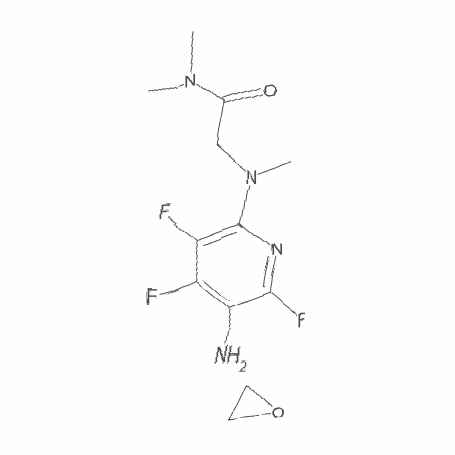 C1CO1.CN(C)C(=O)CN(C)c1nc(F)c(N)c(F)c1F